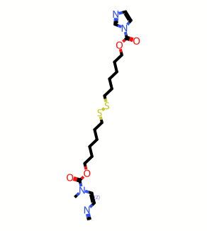 C=N/C=C\N(C)C(=O)OCCCCCCSSCCCCCCOC(=O)n1ccnc1